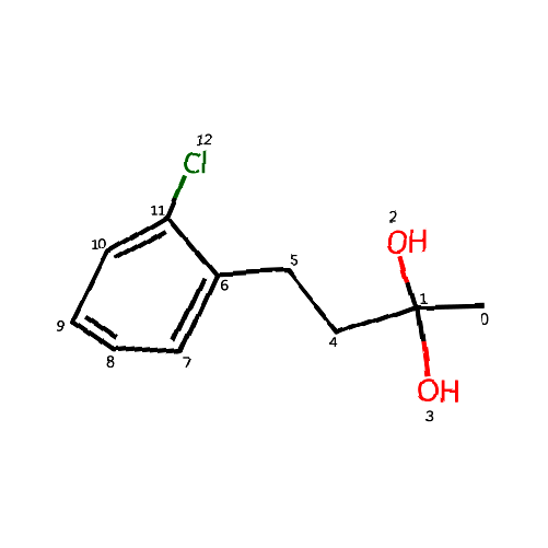 CC(O)(O)CCc1ccccc1Cl